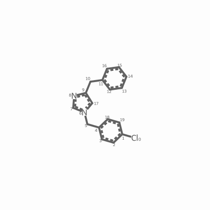 Clc1ccc(Cn2cnc(Cc3ccccc3)c2)cc1